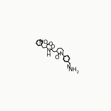 NN=Cc1ccc(N2CCCC(CC(=O)NC(Cc3ccccc3)C(=O)O)C2=O)cc1